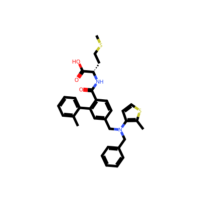 CSCC[C@H](NC(=O)c1ccc(CN(Cc2ccccc2)c2ccsc2C)cc1-c1ccccc1C)C(=O)O